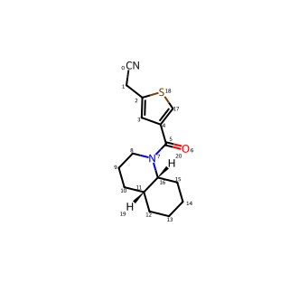 N#CCc1cc(C(=O)N2CCC[C@H]3CCCC[C@H]32)cs1